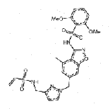 C=CS(=O)(=O)NCc1ccn(Cc2cc(C)c3c(NS(=O)(=O)c4c(OC)cccc4OC)noc3c2)n1